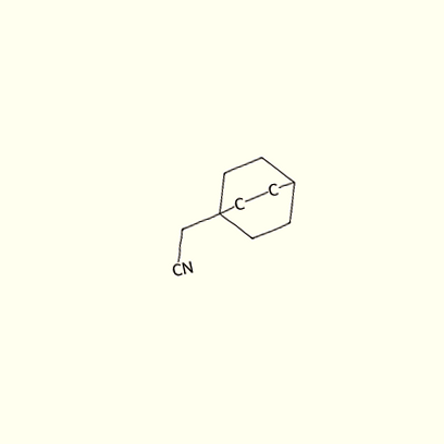 N#CCC12CCC(CC1)CC2